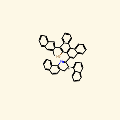 Cc1cc2ccccc2cc1-c1c(S)c2c(C3=Nc4c(ccc5ccccc45)C[C@@H]3c3cccc4ccccc34)cc3ccccc3c2c2ccccc12